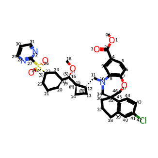 COC(=O)c1ccc2c(c1)N(C[C@@H]1CC[C@H]1[C@@H](OC)[C@H]1CCC[C@H](S(=O)(=O)c3ncccn3)C1)C[C@@]1(CCCc3cc(Cl)ccc31)CO2